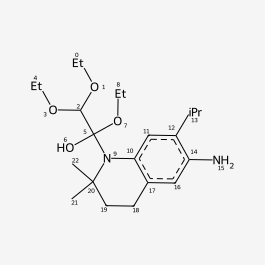 CCOC(OCC)C(O)(OCC)N1c2cc(C(C)C)c(N)cc2CCC1(C)C